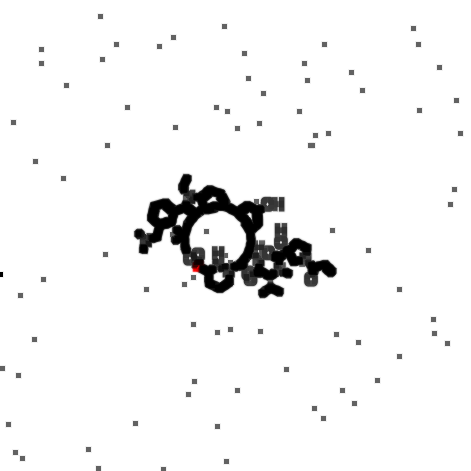 C=CC(=O)N1CCC(O)(C(=O)N(C)[C@@H](C(=O)N[C@H]2Cc3cc(O)cc(c3)-c3ccc4c(c3)c(c(-c3cccc(CN(C)C)c3)n4CC)CC(C)(C)COC[C@@]3(C=O)CCCN(N3)C2=O)C(C)C)C1